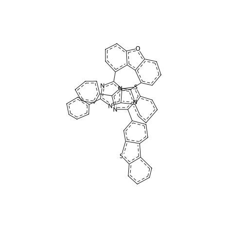 c1ccc(-c2nc(-c3ccc4c(c3)sc3ccccc34)nc(-c3cccc4oc5cccc(-c6nc(-c7ccccc7)nc7c6sc6ccccc67)c5c34)n2)cc1